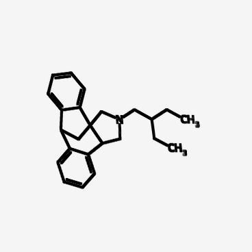 CCC(CC)CN1CC2c3ccccc3C3CC2(C1)c1ccccc13